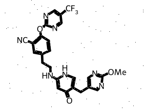 COc1ncc(Cc2c[nH]c(NCCc3ccc(Oc4ncc(C(F)(F)F)cn4)c(C#N)c3)cc2=O)cn1